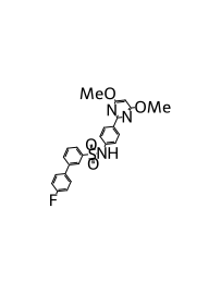 COc1cc(OC)nc(-c2ccc(NS(=O)(=O)c3cccc(-c4ccc(F)cc4)c3)cc2)n1